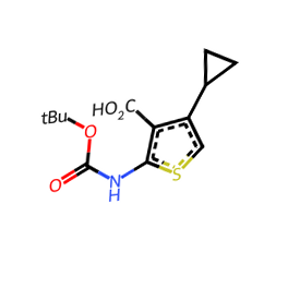 CC(C)(C)OC(=O)Nc1scc(C2CC2)c1C(=O)O